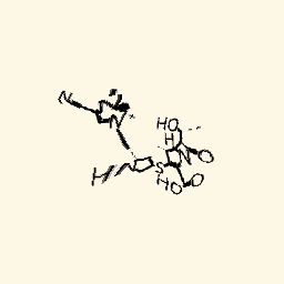 C[C@@H](O)[C@H]1C(=O)N2C(C(=O)O)=C(S[C@@H]3CN[C@H](CC[n+]4cc(C#N)n(C)c4)C3)[C@H](C)[C@H]12